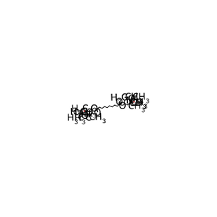 CC(C)(ON1C(C)(C)CC(OC(=O)CCCCCCCCC(=O)OC2CC(C)(C)N(OC(C)(C)c3ccccc3)C(C)(C)C2)CC1(C)C)c1ccccc1